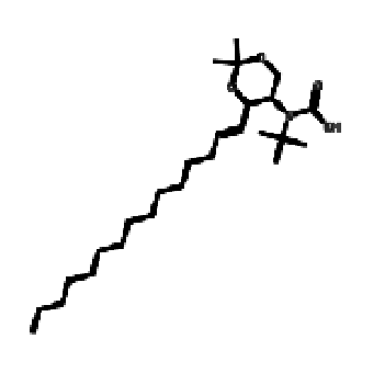 CCCCCCCCCCCCCC=CC1OC(C)(C)OCC1N(C(=O)O)C(C)(C)C